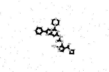 Cn1ncc(C(=O)N2CCC2)c1OC(=O)Nc1cc2nc(-c3ccccc3)cn2c(N2CCOCC2)n1